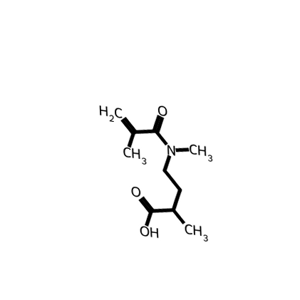 C=C(C)C(=O)N(C)CCC(C)C(=O)O